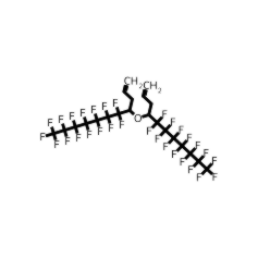 C=CCC(OC(CC=C)C(F)(F)C(F)(F)C(F)(F)C(F)(F)C(F)(F)C(F)(F)C(F)(F)F)C(F)(F)C(F)(F)C(F)(F)C(F)(F)C(F)(F)C(F)(F)C(F)(F)F